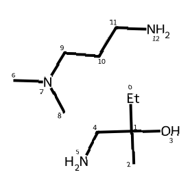 CCC(C)(O)CN.CN(C)CCCN